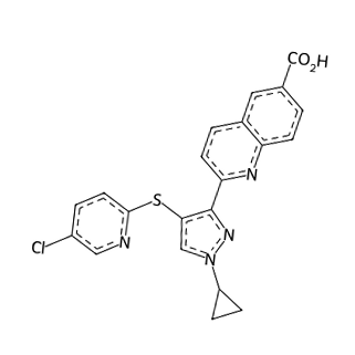 O=C(O)c1ccc2nc(-c3nn(C4CC4)cc3Sc3ccc(Cl)cn3)ccc2c1